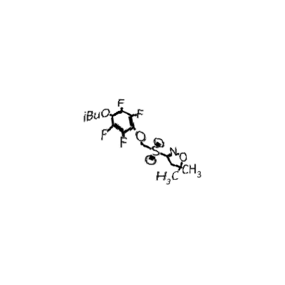 CC(C)COc1c(F)c(F)c(OCS(=O)(=O)C2=NOC(C)(C)C2)c(F)c1F